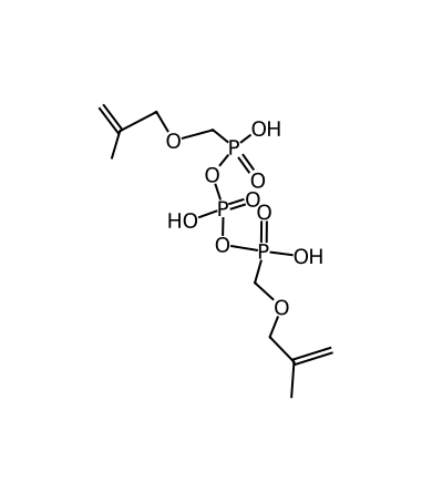 C=C(C)COCP(=O)(O)OP(=O)(O)OP(=O)(O)COCC(=C)C